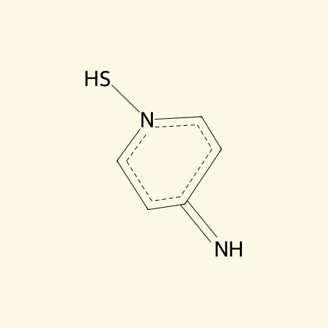 N=c1ccn(S)cc1